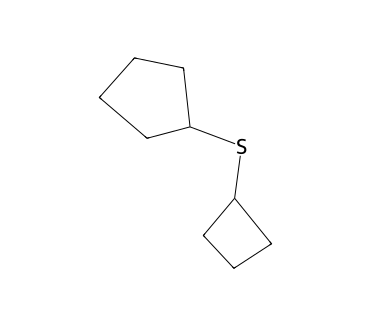 C1CCC(SC2CCC2)C1